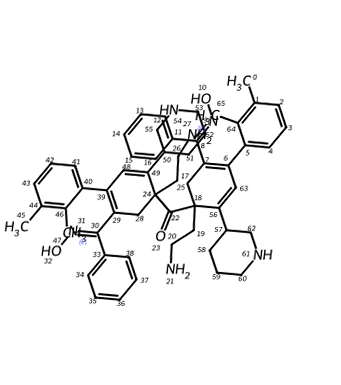 Cc1cccc(C2=C(/C(=N/O)c3ccccc3)CC(CCN)(C(=O)C3(CCN)CC(/C(=N/O)c4ccccc4)=C(c4cccc(C)c4C)C=C3C3CCCNC3)C(C3CCCNC3)=C2)c1C